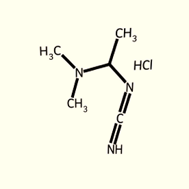 CC(N=C=N)N(C)C.Cl